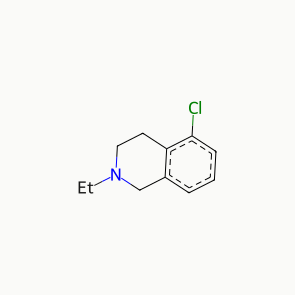 CCN1CCc2c(Cl)cccc2C1